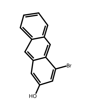 Oc1cc(Br)c2cc3ccccc3cc2c1